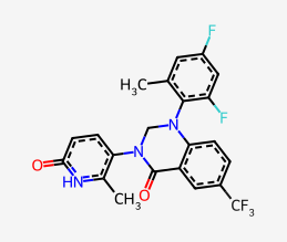 Cc1cc(F)cc(F)c1N1CN(c2ccc(=O)[nH]c2C)C(=O)c2cc(C(F)(F)F)ccc21